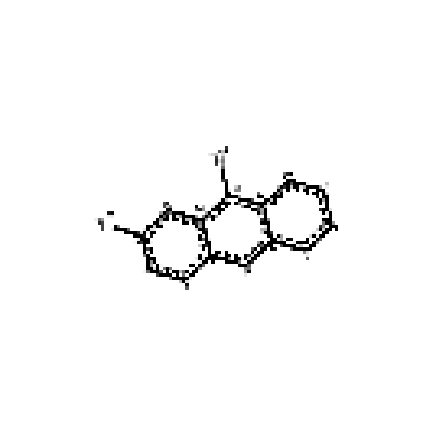 [2H]c1ccc2cc3ccccc3c([2H])c2c1